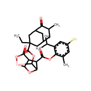 CCC1(C(=O)OC2B3OC(=O)C4C3OC2C4C(=O)Oc2c(C)cc(S)cc2C(C)C)CC2CC(C)C(=O)C(C2)C1